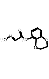 O=C(C=NO)Nc1cccc2c1OCCO2